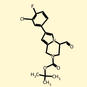 CC(C)(C)OC(=O)N1Cc2cc(-c3ccc(F)c(Cl)c3)cn2C(C=O)C1